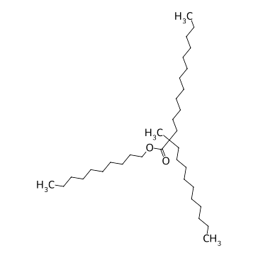 CCCCCCCCCCCCC(C)(CCCCCCCCCC)C(=O)OCCCCCCCCCC